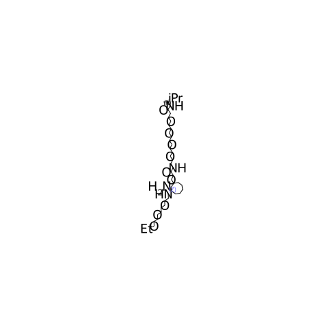 CCOCCOCCOCCN/C1=C(\N)C(OCC(=O)NCCOCCOCCOCCOCCC(=O)N[C@H](C)C(C)C)CCCCC1